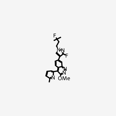 COc1nnc2cc(-c3cn(CCC(C)(C)F)nc3F)ccc2c1-c1cccc(C)n1